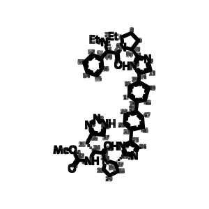 CCN(CC)[C@@H](C(=O)N1CCC[C@H]1c1ncc(-c2ccc(-c3ccc(-c4cnc([C@@H]5CCCN5C(=O)[C@@H](Cc5c[nH]nn5)NC(=O)OC)[nH]4)cc3)cc2)[nH]1)c1ccccc1